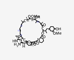 CO[C@@H]1C[C@@H](CC(C)[C@@H]2CC(=O)[C@H](C)/C=C(\C)[C@@H](O)[C@@H](OC)C(=O)[C@H](C)C[C@H](C)/C=C/C=C/C=C(/C)[C@@H](N(C(=N)N)C(=N)N(C)C)C[C@@H]3CC[C@@H](C)[C@@](O)(O3)C(=O)C(=O)N3CCCCC3C(=O)O2)CC[C@H]1O